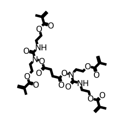 C=C(C)C(=O)OCCNC(=O)N(CCOC(=O)C(=C)C)OC(=O)CCC(=O)ON(CCOC(=O)C(=C)C)C(=O)NCCOC(=O)C(=C)C